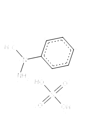 CN(N)c1ccccc1.O=S(=O)(O)O